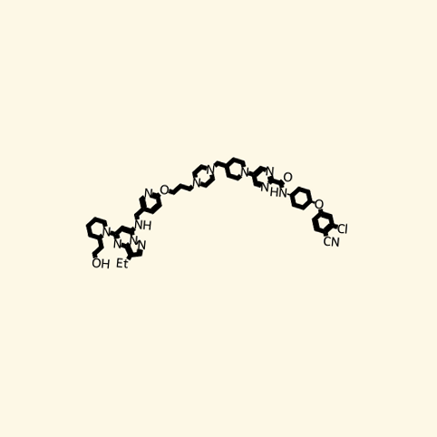 CCc1cnn2c(NCc3ccc(OCCCN4CCN(CC5CCN(c6cnc(C(=O)N[C@H]7CC[C@H](Oc8ccc(C#N)c(Cl)c8)CC7)nc6)CC5)CC4)nc3)cc(N3CCCCC3CCO)nc12